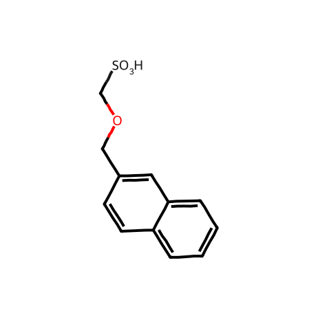 O=S(=O)(O)COCc1ccc2ccccc2c1